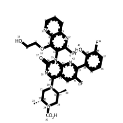 CC(C)c1nc2cccnc2c(OCCO)c1-n1c(=O)nc(N2C[C@@H](C)N(C(=O)O)C[C@@H]2C)c2cc(F)c(-c3cccc(F)c3O)nc21